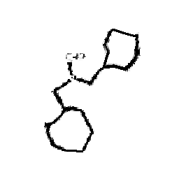 O=[C]N(CC1CCCCCC1)CC1CCCCC1